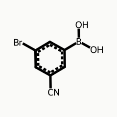 N#Cc1cc(Br)cc(B(O)O)c1